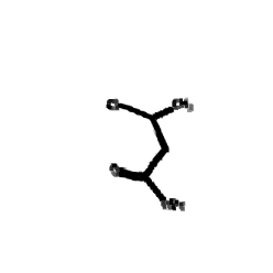 CCCC(=O)CC(C)Cl